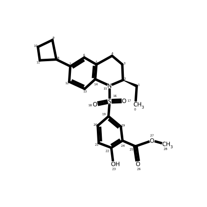 CC[C@@H]1CCc2cc(C3CCC3)ccc2N1S(=O)(=O)c1ccc(O)c(C(=O)OC)c1